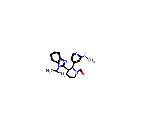 CNc1cc(C2C(c3nc4ccccc4n3C(C)C)CCCN2C=O)ccn1